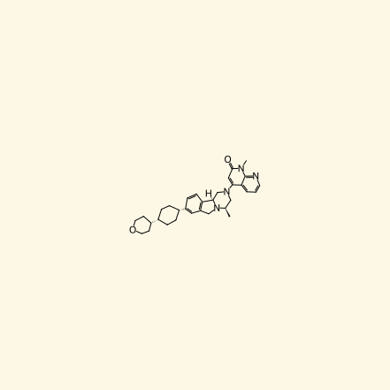 C[C@@H]1CN(c2cc(=O)n(C)c3ncccc23)C[C@@H]2c3ccc([C@H]4CC[C@@H](C5CCOCC5)CC4)cc3CN12